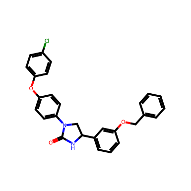 O=C1NC(c2cccc(OCc3ccccc3)c2)CN1c1ccc(Oc2ccc(Cl)cc2)cc1